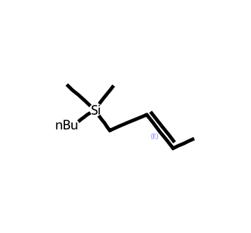 C/C=C/C[Si](C)(C)CCCC